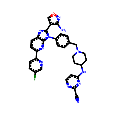 N#Cc1nccc(NC2CCN(Cc3ccc(-n4c(-c5conc5N)nc5ccc(-c6ccc(F)cn6)nc54)cc3)CC2)n1